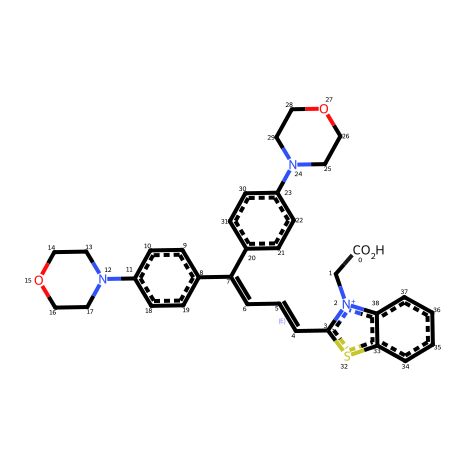 O=C(O)C[n+]1c(/C=C/C=C(c2ccc(N3CCOCC3)cc2)c2ccc(N3CCOCC3)cc2)sc2ccccc21